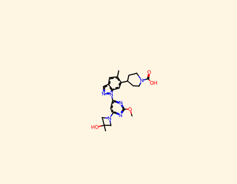 COc1nc(N2CC(C)(O)C2)cc(-n2ncc3cc(C)c(C4CCN(C(=O)O)CC4)cc32)n1